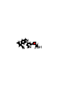 Cc1cc(-n2ncc3ccc(C4(C#N)CC45CC5)cc32)cc(N2CC3(C(C)(C)O)CC2C3)n1